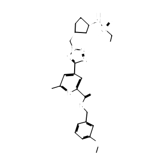 CCS(=O)(=O)N[C@@H]1CC[C@H](Cn2nnc(-c3cc(C)nc(C(=O)NCc4cccc(OC)c4)c3)n2)C1